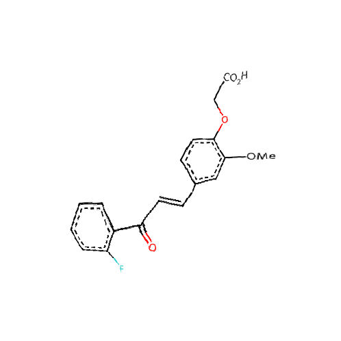 COc1cc(/C=C/C(=O)c2ccccc2F)ccc1OCC(=O)O